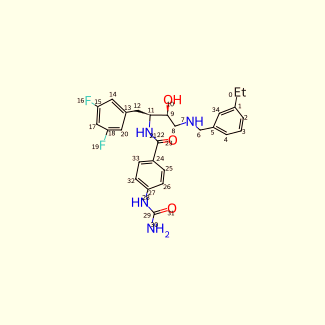 CCc1cccc(CNC[C@H](O)[C@H](Cc2cc(F)cc(F)c2)NC(=O)c2ccc(NC(N)=O)cc2)c1